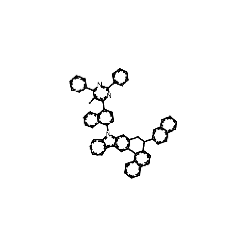 Cc1c(-c2ccccc2)nc(-c2ccccc2)nc1-c1ccc(-n2c3ccccc3c3cc4c(cc32)CC(c2ccc3ccccc3c2)c2ccc3ccccc3c2-4)c2ccccc12